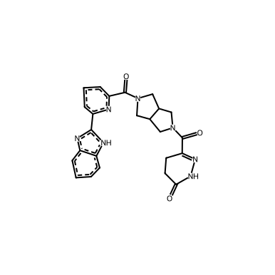 O=C1CCC(C(=O)N2CC3CN(C(=O)c4cccc(-c5nc6ccccc6[nH]5)n4)CC3C2)=NN1